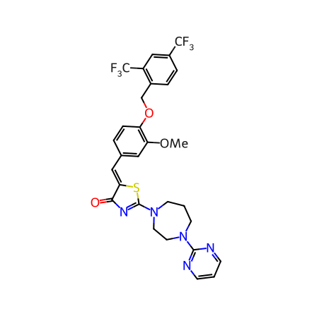 COc1cc(C=C2SC(N3CCCN(c4ncccn4)CC3)=NC2=O)ccc1OCc1ccc(C(F)(F)F)cc1C(F)(F)F